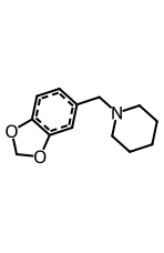 c1cc2c(cc1CN1CCCCC1)OCO2